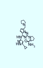 NC(=O)[C@@H]1CCCN1c1nc(Nc2cc(C3CC3)[nH]n2)c2ccc(CN3CCCC3)n2n1